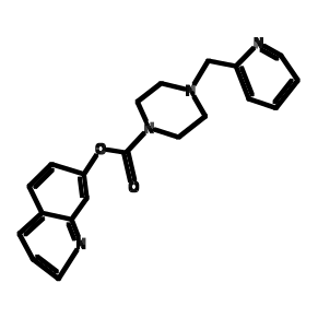 O=C(Oc1ccc2cccnc2c1)N1CCN(Cc2ccccn2)CC1